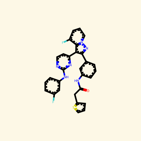 O=C(Cc1cccs1)Nc1cccc(-c2nn3cccc(F)c3c2-c2ccnc(Nc3cccc(F)c3)n2)c1